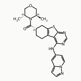 C[C@@H]1COC[C@@H](C)N1C(=O)[C@H]1CCc2c(sc3ncnc(Nc4ccn5nccc5c4)c23)C1